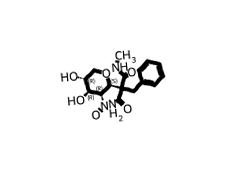 CNC(=O)C(Cc1ccccc1)(C(N)=O)[C@@H]1OC[C@@H](O)[C@H](O)[C@H]1N=O